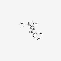 NC(=O)c1cnc(Nc2ccc3c(c2)NCCCO3)nc1NCCN1CCOCC1